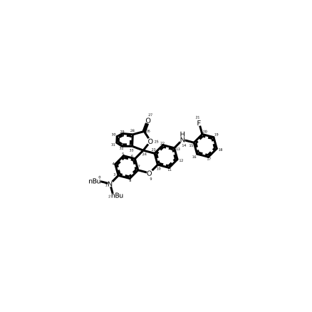 CCCCN(CCCC)c1ccc2c(c1)Oc1ccc(Nc3ccccc3F)cc1C21OC(=O)c2ccccc21